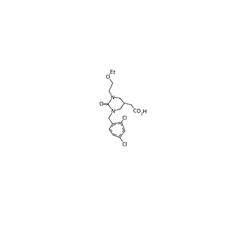 CCOCCN1CC(CC(=O)O)CN(Cc2ccc(Cl)cc2Cl)C1=O